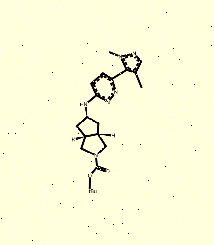 Cc1cnn(C)c1-c1ccc(N[C@H]2C[C@@H]3CN(C(=O)OC(C)(C)C)C[C@@H]3C2)nn1